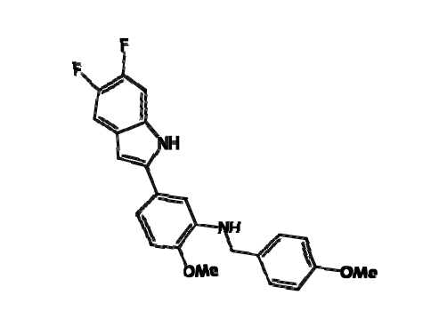 COc1ccc(CNc2cc(-c3cc4cc(F)c(F)cc4[nH]3)ccc2OC)cc1